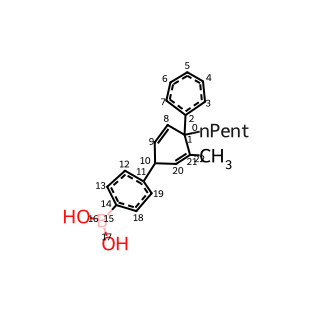 CCCCCC1(c2ccccc2)C=CC(c2ccc(B(O)O)cc2)C=C1C